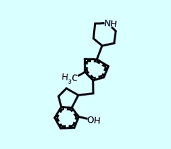 Cc1cc(C2CCNCC2)ccc1CC1CCc2cccc(O)c21